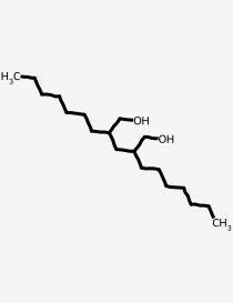 CCCCCCCC(CO)CC(CO)CCCCCCC